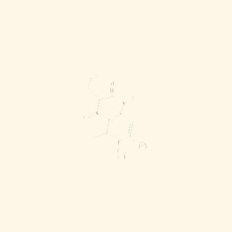 Cc1c2c(cc(C(C)C)c1C(C)C)C(=O)c1ccccc1C2=O